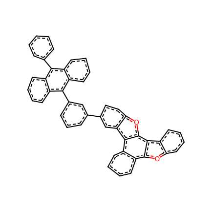 c1ccc(-c2c3ccccc3c(-c3cccc(-c4ccc5oc6c(c5c4)c4ccccc4c4oc5ccccc5c46)c3)c3ccccc23)cc1